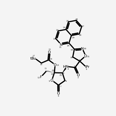 CC(C)C1(C(=O)N[C@H]2CC(=O)O[C@@]2(CF)OC(=O)CC(C)(C)C)CC(c2nccc3ccccc23)=NO1